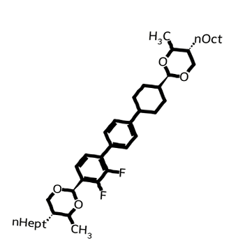 CCCCCCCC[C@@H]1CO[C@@H](C2CCC(c3ccc(-c4ccc([C@@H]5OC[C@@H](CCCCCCC)C(C)O5)c(F)c4F)cc3)CC2)OC1C